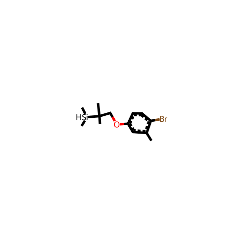 Cc1cc(OCC(C)(C)[SiH](C)C)ccc1Br